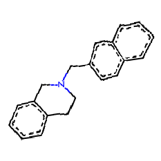 c1ccc2c(c1)CCN(Cc1ccc3ccccc3c1)C2